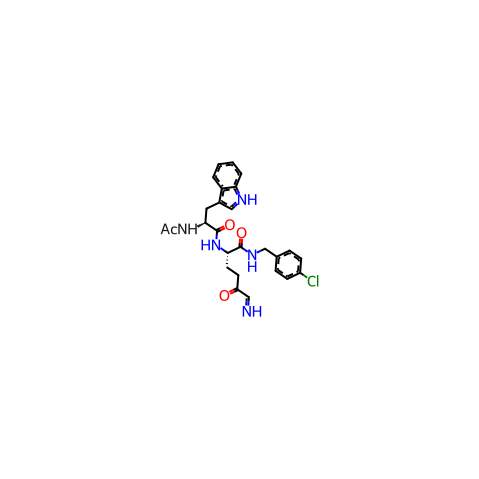 CC(=O)N[C@@H](Cc1c[nH]c2ccccc12)C(=O)N[C@@H](CCC(=O)C=N)C(=O)NCc1ccc(Cl)cc1